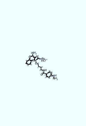 CCCCc1nc2c(N)nc3ccccc3c2n1OCCCCNC(=O)c1ccc(NN)nc1.Cl